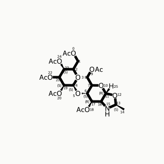 CC(=O)OCC1O[C@@H](O[C@@H]2C(COC(C)=O)O[C@@H]3O[C@@H](C)NC3[C@H]2OC(C)=O)[C@@H](OC(C)=O)C(OC(C)=O)[C@H]1OC(C)=O